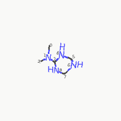 CN(C)C1NCNCN1